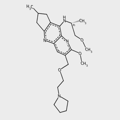 COC[C@@H](C)Nc1c2c(nc3cc(COCCN4CCCC4)c(OC)nc13)CC(C)C2